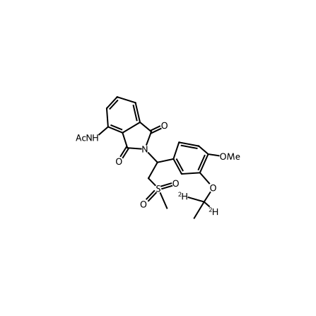 [2H]C([2H])(C)Oc1cc(C(CS(C)(=O)=O)N2C(=O)c3cccc(NC(C)=O)c3C2=O)ccc1OC